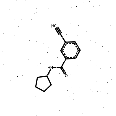 C#Cc1cccc(C(=O)NC2CCCC2)c1